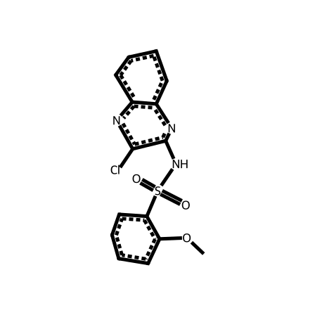 COc1ccccc1S(=O)(=O)Nc1nc2ccccc2nc1Cl